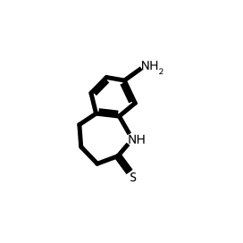 Nc1ccc2c(c1)NC(=S)CCC2